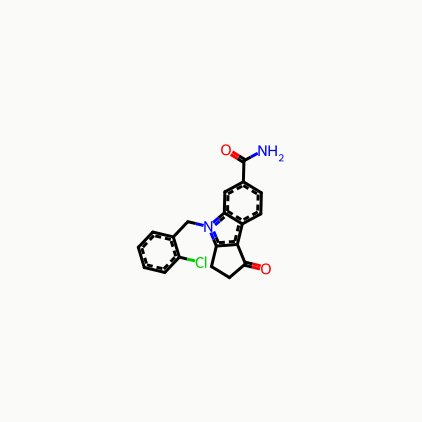 NC(=O)c1ccc2c3c(n(Cc4ccccc4Cl)c2c1)CCC3=O